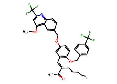 CCCC/C(=C\c1cc(OCc2ccc3nc(C(F)(F)F)cc(OC)c3c2)ccc1OCc1ccc(C(F)(F)F)cc1)C(C)=O